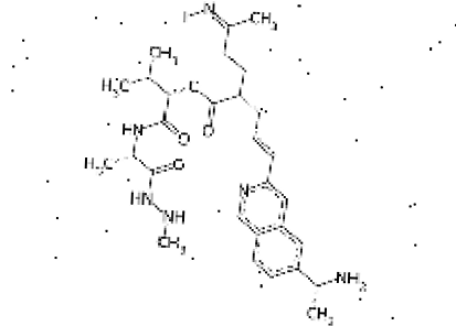 CNNC(=O)[C@H](C)NC(=O)[C@@H](OC(=O)[C@@H](C/C=C/c1cc2cc([C@@H](C)N)ccc2cn1)CC/C(C)=N\I)C(C)C